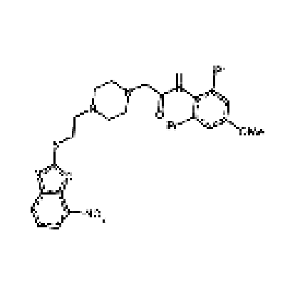 COc1cc(C(C)C)c(NC(=O)CN2CCN(CCSc3nc4cccc([N+](=O)[O-])c4o3)CC2)c(C(C)C)c1